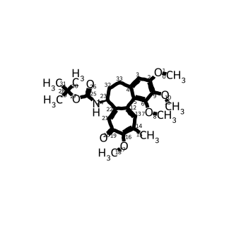 COc1cc2c(c(OC)c1OC)-c1cc(C)c(OC)c(=O)cc1[C@@H](NC(=O)OC(C)(C)C)CC2